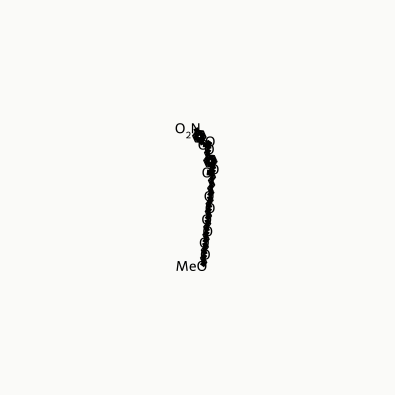 COCCOCCOCCOCCOCCOCCOCCCCCC(=O)Oc1ccc(COC(=O)Oc2ccc([N+](=O)[O-])cc2)cc1